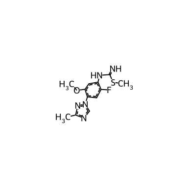 COc1cc(NC(=N)SC)c(F)cc1-n1cnc(C)n1